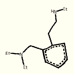 CCNCCc1ccccc1CN(CC)CC